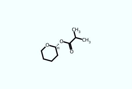 CC(C)C(=O)O[C@@H]1CCCCO1